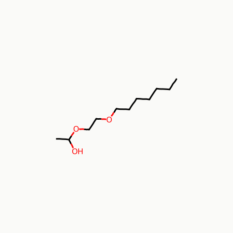 CCCCCCCOCCOC(C)O